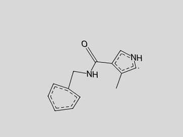 Cc1[c][nH]cc1C(=O)NCc1ccccc1